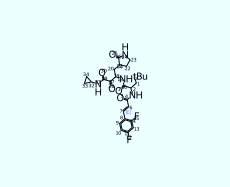 CC(C)(C)CC(NC(=O)/C=C/c1ccc(F)cc1F)C(=O)NC(C[C@@H]1CCNC1=O)C(=O)C(=O)NC1CC1